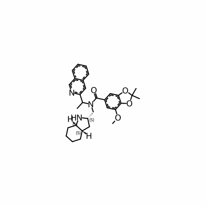 COc1cc(C(=O)N(C[C@@H]2C[C@@H]3CCCC[C@@H]3N2)C(C)c2cc3ccccc3cn2)cc2c1OC(C)(C)O2